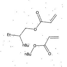 C=CC(=O)OCC(CC)CCCC.C=CC(=O)OCCCC